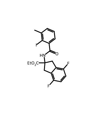 CCOC(=O)C1(NC(=O)c2cccc(C)c2I)Cc2c(F)ccc(F)c2C1